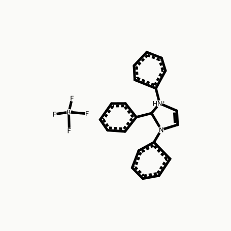 C1=C[NH+](c2ccccc2)C(c2ccccc2)N1c1ccccc1.F[B-](F)(F)F